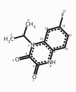 CC(C)n1c(=O)c(=O)[nH]c2ccc(F)cc21